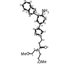 COCCN(CCOC)C(=O)CCn1cc(-c2cnc(N)c(-c3nc4ccccc4s3)c2)cn1